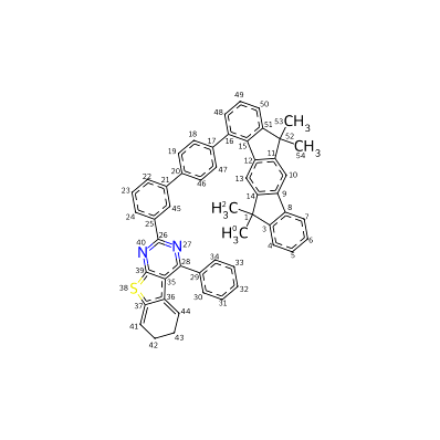 CC1(C)c2ccccc2-c2cc3c(cc21)-c1c(-c2ccc(-c4cccc(-c5nc(-c6ccccc6)c6c7c(sc6n5)=CCCC=7)c4)cc2)cccc1C3(C)C